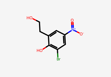 O=[N+]([O-])c1cc(Br)c(O)c(CCO)c1